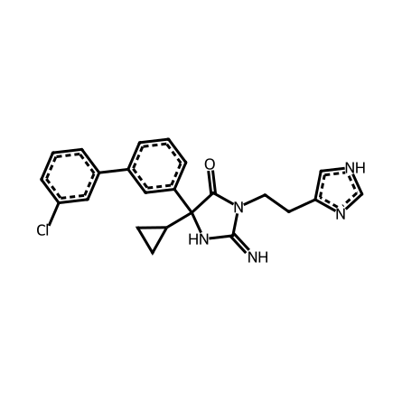 N=C1NC(c2cccc(-c3cccc(Cl)c3)c2)(C2CC2)C(=O)N1CCc1c[nH]cn1